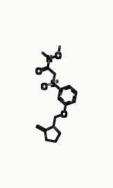 C=C1CCCC1COc1cccc([S+]([O-])CC(=O)N(C)OC)c1